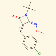 CO/N=C1\C(=C/c2ccc(Cl)cc2)C(=O)N1C(C)(C)C